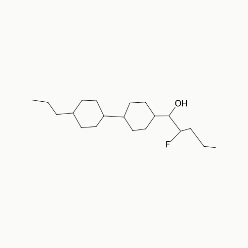 CCCC1CCC(C2CCC(C(O)C(F)CCC)CC2)CC1